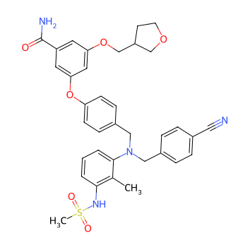 Cc1c(NS(C)(=O)=O)cccc1N(Cc1ccc(C#N)cc1)Cc1ccc(Oc2cc(OCC3CCOC3)cc(C(N)=O)c2)cc1